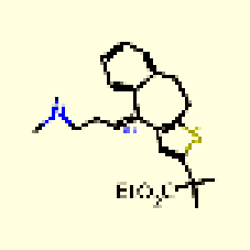 CCOC(=O)C(C)(C)c1cc2c(s1)CCc1ccccc1/C2=C\CCN(C)C